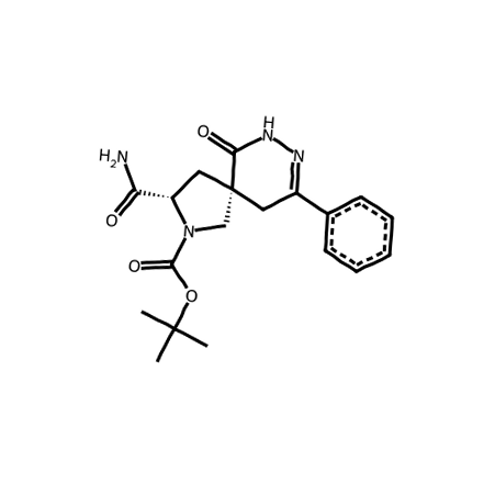 CC(C)(C)OC(=O)N1C[C@]2(CC(c3ccccc3)=NNC2=O)C[C@H]1C(N)=O